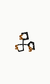 c1csc(C2(c3cccs3)CCSC2)c1